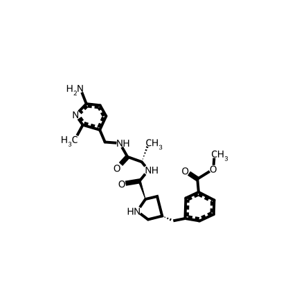 COC(=O)c1cccc(C[C@@H]2CN[C@@H](C(=O)N[C@@H](C)C(=O)NCc3ccc(N)nc3C)C2)c1